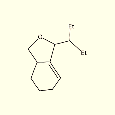 CCC(CC)C1OCC2CCCC=C21